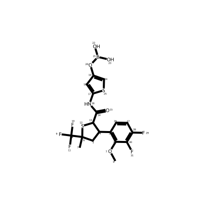 COc1c(C2CC(C)(C(F)(F)F)SC2C(=O)Nc2cc(OB(O)O)cs2)ccc(F)c1F